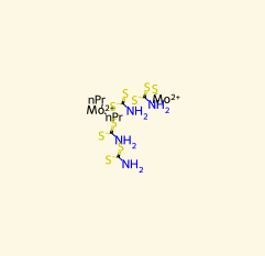 CC[CH2][Mo+2][CH2]CC.NC(=S)[S-].NC(=S)[S-].NC(=S)[S-].NC(=S)[S-].[S]=[Mo+2]